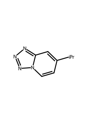 CC(C)c1ccn2nnnc2c1